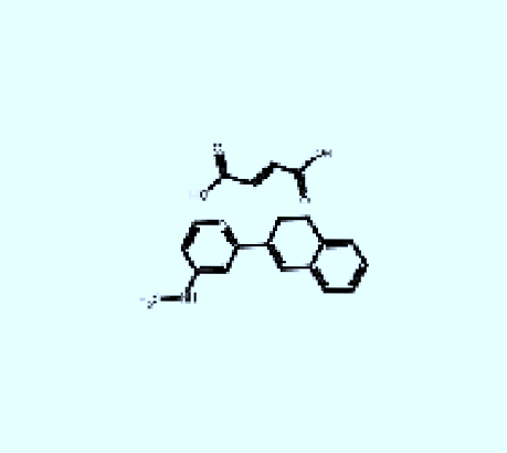 CNc1ccnc(C2=Cc3ccccc3CC2)c1.O=C(O)C=CC(=O)O